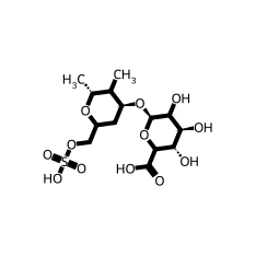 CC1[C@@H](O[C@@H]2OC(C(=O)O)[C@@H](O)[C@H](O)C2O)CC(COS(=O)(=O)O)O[C@@H]1C